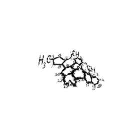 CCCC1CC(C)CC1c1cc2ccnc3c4cc5ccccc5c(C)c4n4c5ccccc5c1c4c23